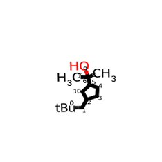 CC(C)(C)CC1CCC(C(C)(C)O)C1